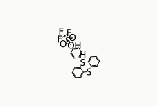 O=S(=O)(O)C(F)(F)F.c1ccc([SH]2c3ccccc3Sc3ccccc32)cc1